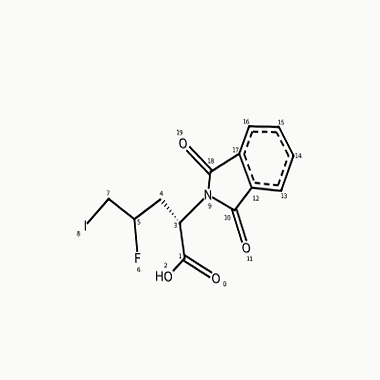 O=C(O)[C@H](CC(F)CI)N1C(=O)c2ccccc2C1=O